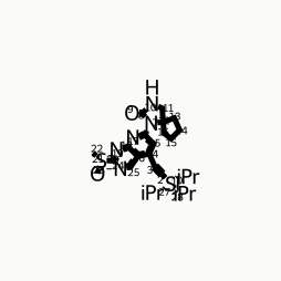 CC(C)[Si](C#Cc1cc(N2C(=O)NCC23CCCC3)nc2nc([S+](C)[O-])ncc12)(C(C)C)C(C)C